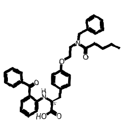 CCCCC(=O)N(CCOc1ccc(C[C@H](Nc2ccccc2C(=O)c2ccccc2)C(=O)O)cc1)Cc1ccccc1